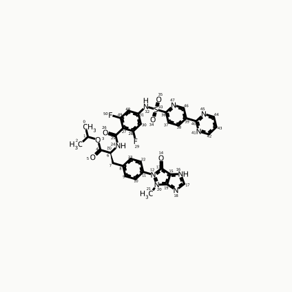 CC(C)OC(=O)[C@H](Cc1ccc(-n2c(=O)c3[nH]cnc3n2C)cc1)NC(=O)c1c(F)cc(NS(=O)(=O)c2ccc(-c3ncccn3)cn2)cc1F